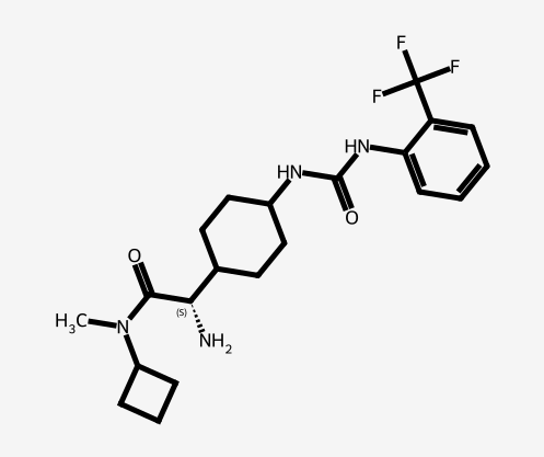 CN(C(=O)[C@@H](N)C1CCC(NC(=O)Nc2ccccc2C(F)(F)F)CC1)C1CCC1